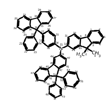 CC1(C)c2ccccc2-c2ccc(N(c3ccc(C4(c5ccccc5)c5ccccc5-c5ccccc54)cc3)c3ccc4c(c3)-c3ccccc3C4(c3ccccc3)c3ccccc3)cc21